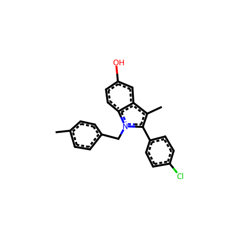 Cc1ccc(Cn2c(-c3ccc(Cl)cc3)c(C)c3cc(O)ccc32)cc1